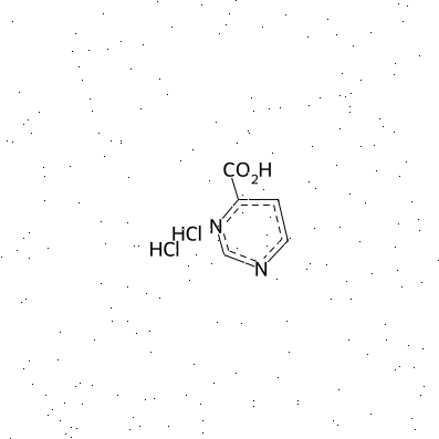 Cl.Cl.O=C(O)c1ccncn1